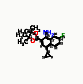 CC1(C)OB(c2cc(C3CC3)c3ccc(F)cc3c2N)OC1(C)C